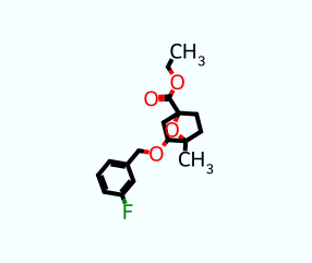 CCOC(=O)C12CCC(C)(O1)C(OCc1cccc(F)c1)C2